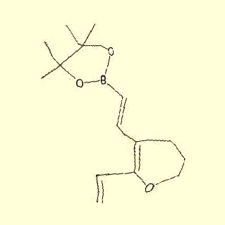 C=CC1=C(/C=C/B2OC(C)(C)C(C)(C)O2)CCCO1